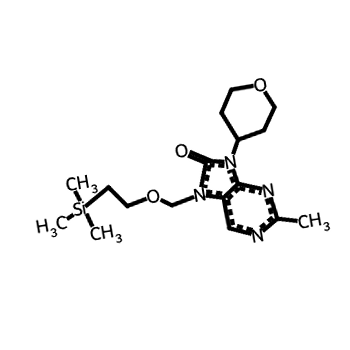 Cc1ncc2c(n1)n(C1CCOCC1)c(=O)n2COCC[Si](C)(C)C